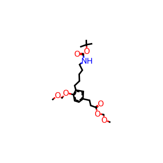 COCOC(=O)CCc1ccc(OCOC)c(CCCCCNC(=O)OC(C)(C)C)c1